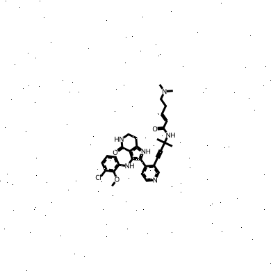 COc1c(Cl)cccc1Nc1c(-c2ccncc2C#CC(C)(C)NC(=O)/C=C/CCN(C)C)[nH]c2c1C(=O)NCC2